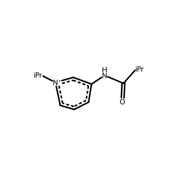 CC(C)C(=O)Nc1ccc[n+](C(C)C)c1